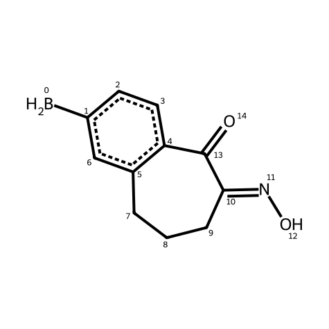 Bc1ccc2c(c1)CCC/C(=N\O)C2=O